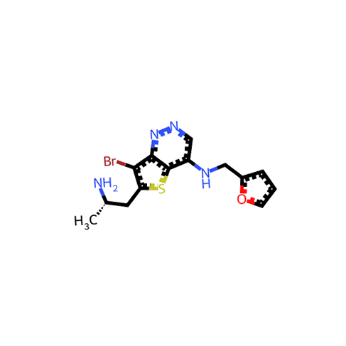 C[C@H](N)Cc1sc2c(NCc3ccco3)cnnc2c1Br